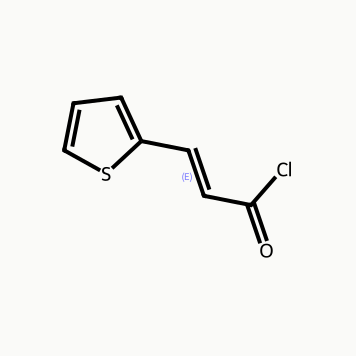 O=C(Cl)/C=C/c1cccs1